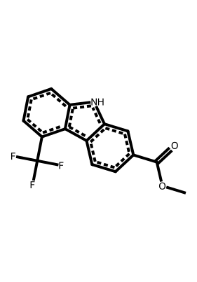 COC(=O)c1ccc2c(c1)[nH]c1cccc(C(F)(F)F)c12